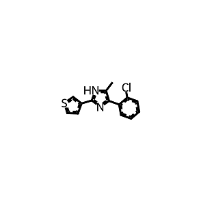 Cc1[nH]c(-c2ccsc2)nc1-c1ccccc1Cl